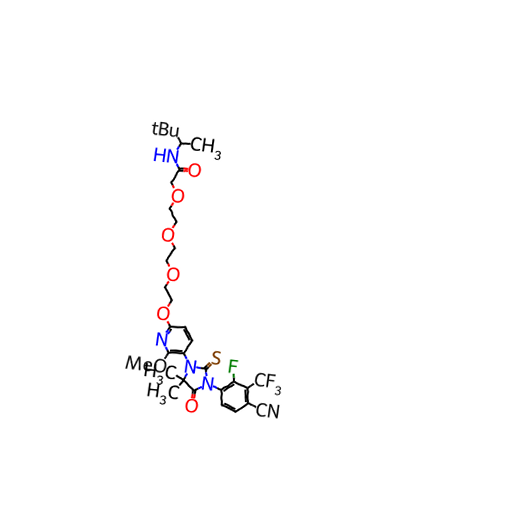 COc1nc(OCCOCCOCCOCC(=O)NC(C)C(C)(C)C)ccc1N1C(=S)N(c2ccc(C#N)c(C(F)(F)F)c2F)C(=O)C1(C)C